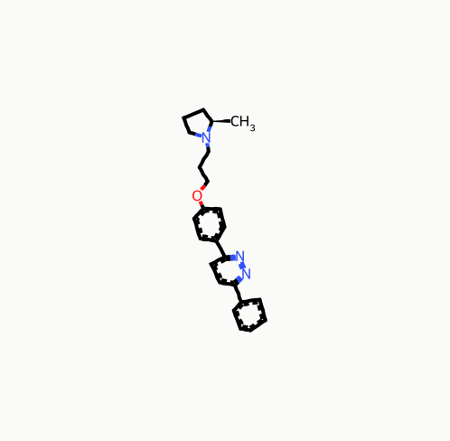 C[C@@H]1CCCN1CCCOc1ccc(-c2ccc(-c3ccccc3)nn2)cc1